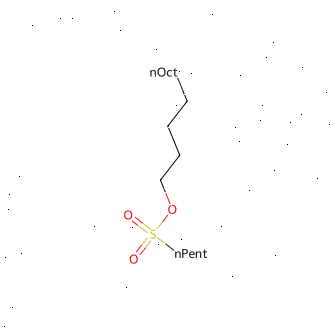 CCCCCCCCCCCCOS(=O)(=O)CCCCC